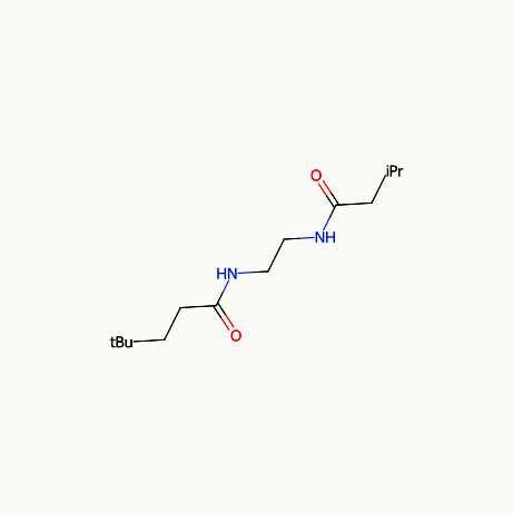 CC(C)CC(=O)NCCNC(=O)CCC(C)(C)C